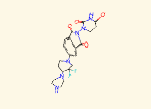 O=C1CCN(N2C(=O)c3ccc(N4CCC(N5CCNCC5)C(F)(F)C4)cc3C2=O)C(=O)N1